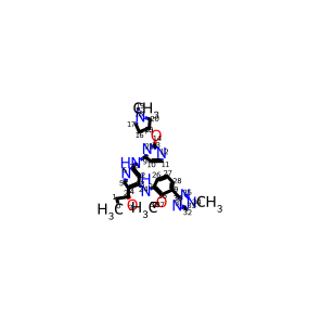 CCC(=O)c1cnc(Nc2ccnc(O[C@@H]3CCN(C)C3)n2)cc1Nc1cccc(-c2ncn(C)n2)c1OC